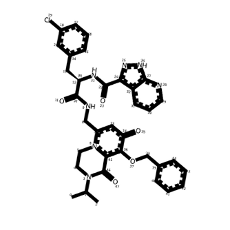 CC(C)N1CCn2c(CNC(=O)[C@@H](Cc3cccc(Cl)c3)NC(=O)c3n[nH]c4ncccc34)cc(=O)c(OCc3ccccc3)c2C1=O